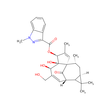 CC1=C[C@]23C(=O)[C@@H](C=C(CO)[C@@H](O)[C@]2(O)[C@H]1OC(=O)c1nn(C)c2ccccc12)C1[C@@H](C[C@H]3C)C1(C)C